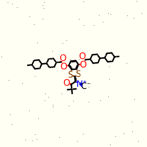 [C-]#[N+]C(C(=O)C(C)(C)C)=C1Sc2c(OC(=O)C3CCC(C4CCC(C)CC4)CC3)ccc(OC(=O)C3CCC(C4CCC(C)CC4)CC3)c2S1